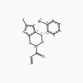 C=CC(=O)N1Cc2sc(C)cc2[C@H](c2ccccc2Br)C1